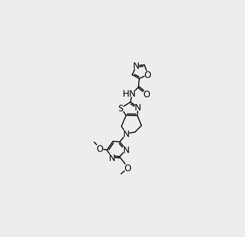 COc1cc(N2CCc3nc(NC(=O)c4cnco4)sc3C2)nc(OC)n1